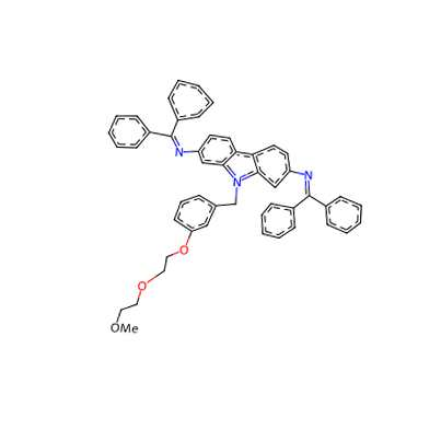 COCCOCCOc1cccc(Cn2c3cc(N=C(c4ccccc4)c4ccccc4)ccc3c3ccc(N=C(c4ccccc4)c4ccccc4)cc32)c1